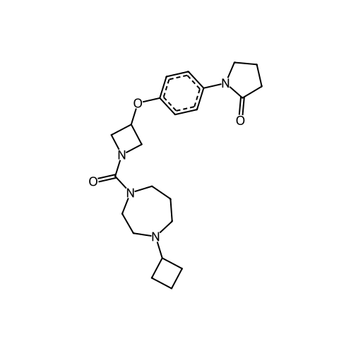 O=C(N1CCCN(C2CCC2)CC1)N1CC(Oc2ccc(N3CCCC3=O)cc2)C1